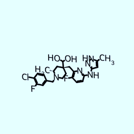 Cc1cc(Nc2ccc(F)c(C[C@@]3(C(O)O)CCN(Cc4ccc(Cl)c(F)c4)[C@H](C)C3)n2)n[nH]1